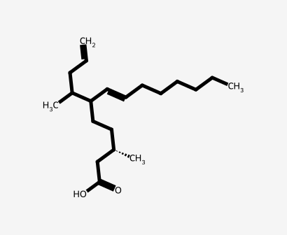 C=CCC(C)C(C=CCCCCCC)CC[C@H](C)CC(=O)O